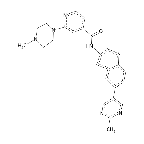 Cc1ncc(-c2ccc3nnc(NC(=O)c4ccnc(N5CCN(C)CC5)c4)cc3c2)cn1